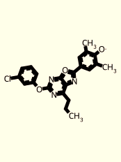 CCCc1nc(Oc2cccc(Cl)c2)nc2oc(-c3cc(C)c([O])c(C)c3)nc12